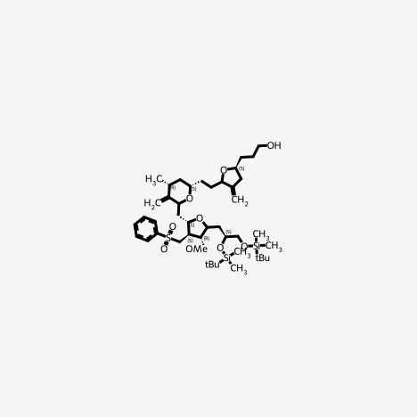 C=C1C[C@H](CCCO)OC1CC[C@H]1C[C@@H](C)C(=C)C(C[C@@H]2OC(C[C@@H](CO[Si](C)(C)C(C)(C)C)O[Si](C)(C)C(C)(C)C)[C@H](OC)[C@H]2CS(=O)(=O)c2ccccc2)O1